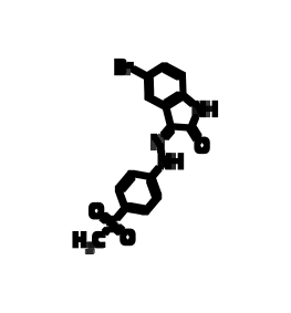 CS(=O)(=O)c1ccc(N/N=C2\C(=O)Nc3ccc(Br)cc32)cc1